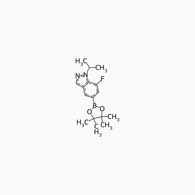 CC(C)n1ncc2cc(B3OC(C)(C)C(C)(C)O3)cc(F)c21